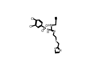 C#CCN/C(=N/CCSCc1nccs1)NS(=O)(=O)c1ccc(Cl)c(Cl)c1